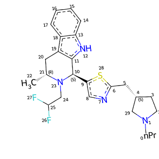 CCCN1CC[C@@H](Cc2ncc([C@@H]3c4[nH]c5ccccc5c4C[C@@H](C)N3CC(F)F)s2)C1